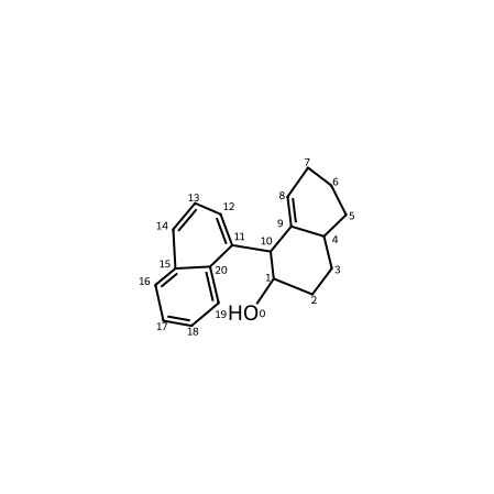 OC1CCC2CCCC=C2C1c1cccc2ccccc12